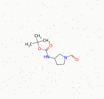 CC(C)(C)OC(=O)NC1CCN(C=O)C1